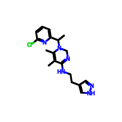 CC1=C(C)N(C(C)c2cccc(Cl)n2)CN=C1NCCc1cn[nH]c1